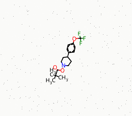 CC(C)(C)C(=O)ON1CCC(c2ccc(OC(F)(F)F)cc2)CC1